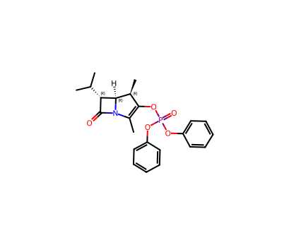 CC1=C(OP(=O)(Oc2ccccc2)Oc2ccccc2)[C@H](C)[C@@H]2[C@@H](C(C)C)C(=O)N12